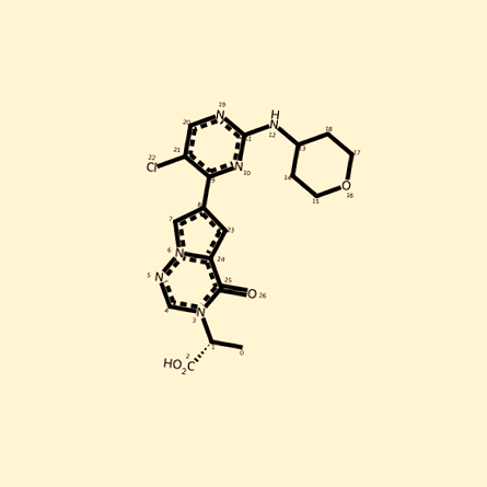 C[C@H](C(=O)O)n1cnn2cc(-c3nc(NC4CCOCC4)ncc3Cl)cc2c1=O